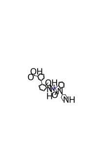 O=C(O)c1cccc(-c2cccc(N/N=C3\C(=O)N(C4CCNCC4)c4ccccc43)c2O)c1